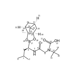 CC(C)C[C@H](NC(=O)CN(C(=O)O)C(C)(C)C)B1O[C@@H]2C[C@@H]3C[C@@H](C3(C)C)[C@]2(C)O1